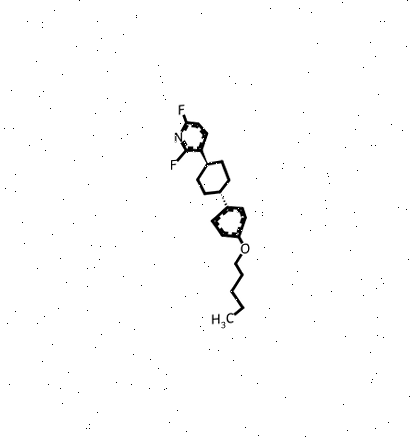 CCCCCOc1ccc([C@H]2CC[C@H](c3ccc(F)nc3F)CC2)cc1